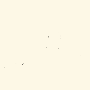 CC(C)(C)OC(=O)C[C@H]1CC[C@H](C(=O)N[C@@H](Cc2ccccc2)c2nc3cc(C(=O)O)ccc3[nH]2)CC1